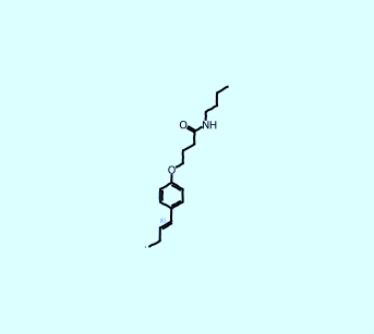 [CH2]C/C=C/c1ccc(OCCCC(=O)NCCCC)cc1